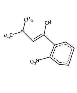 CN(C)C=C(C#N)c1ccccc1[N+](=O)[O-]